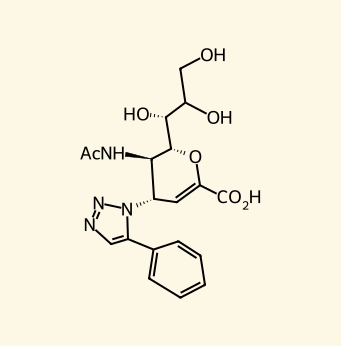 CC(=O)N[C@H]1[C@H]([C@H](O)C(O)CO)OC(C(=O)O)=C[C@@H]1n1nncc1-c1ccccc1